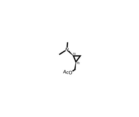 CC(=O)OC[C@@H]1C[C@@H]1N(C)C